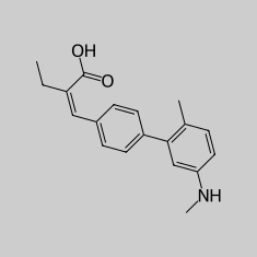 CCC(=Cc1ccc(-c2cc(NC)ccc2C)cc1)C(=O)O